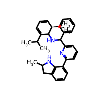 CC1Cc2cccc(-c3cccc(C(NC4C(C(C)C)=CC=C[C@H]4C(C)C)c4ccccc4)n3)c2N1